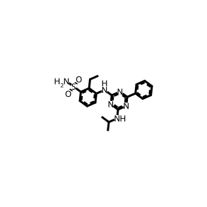 CCc1c(Nc2nc(NC(C)C)nc(-c3ccccc3)n2)cccc1S(N)(=O)=O